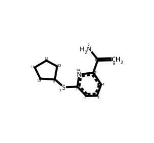 C=C(N)c1cccc(SC2CCCC2)n1